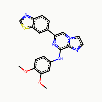 COc1ccc(Nc2nc(-c3ccc4ncsc4c3)cn3ccnc23)cc1OC